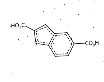 O=C(O)c1ccc2sc(C(=O)O)cc2c1